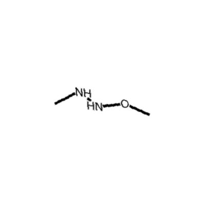 CNNOC